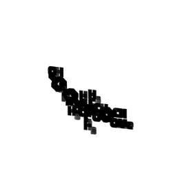 COc1cc(OC2C(C)(C)C(NC(=O)c3ccc(N4CCC(CO)CC4)nn3)C2(C)C)ccc1C#N